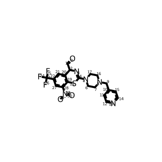 O=CC1N=C(N2CCN(Cc3ccncc3)CC2)Sc2c1cc(C(F)(F)F)cc2[N+](=O)[O-]